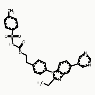 CCc1nc2cc(-c3cncnc3)ccc2n1-c1ccc(CCOC(=O)NS(=O)(=O)c2ccc(C)cc2)cc1